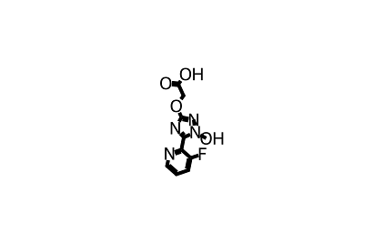 O=C(O)COc1nc(-c2ncccc2F)n(O)n1